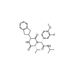 COc1ccc([C@H](C(=O)NC(C)C)N2C(=O)C(C3Cc4ccccc4C3)NC(=O)[C@H]2C(C)C)cc1F